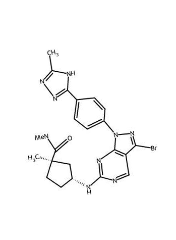 CNC(=O)[C@]1(C)CC[C@@H](Nc2ncc3c(Br)nn(-c4ccc(-c5nnc(C)[nH]5)cc4)c3n2)C1